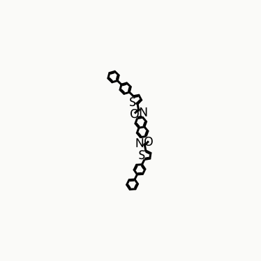 c1ccc(-c2ccc(-c3ccc(-c4nc5cc6cc7oc(-c8ccc(-c9ccc(-c%10ccccc%10)cc9)s8)nc7cc6cc5o4)s3)cc2)cc1